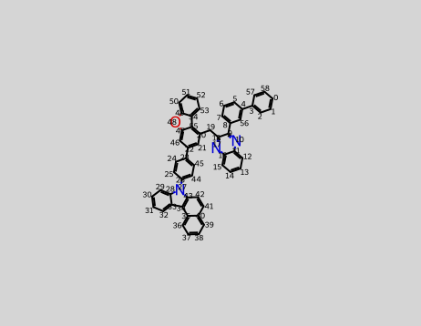 c1ccc(-c2cccc(-c3nc4ccccc4nc3Cc3cc(-c4ccc(-n5c6ccccc6c6c7ccccc7ccc65)cc4)cc4oc5ccccc5c34)c2)cc1